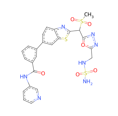 CS(=O)(=O)C(c1nnc(CNS(N)(=O)=O)o1)c1nc2ccc(-c3cccc(C(=O)Nc4cccnc4)c3)cc2s1